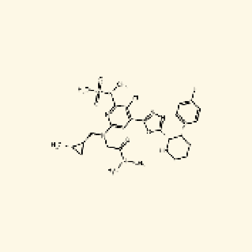 C[C@H]1C[C@@H]1CN(CC(=O)N(C)C)c1cc(-c2nnc([C@H]3NCCC[C@H]3c3ccc(F)cc3)o2)c(Cl)c(N(C)S(C)(=O)=O)n1